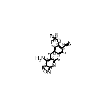 Cc1nc2nonc2c(N)c1Cc1ccc(C#N)c(OC(F)(F)F)c1